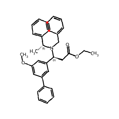 CCOC(=O)C[C@@H](c1cc(OC)cc(-c2ccccc2)c1)N(Cc1ccccc1)[C@H](C)c1ccccc1